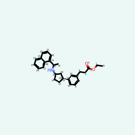 CCOC(=O)CCc1cccc([C@H]2CCC(NC(C)c3cccc4ccccc34)C2)c1